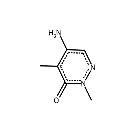 Cc1c(N)cnn(C)c1=O